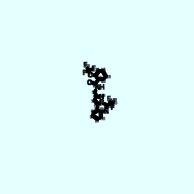 O=C(NCc1cc2c3ccccc3nc(C(F)(F)F)n2n1)c1ccccc1OC(F)(F)F